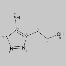 OCCC1=C(S)[N]N=N1